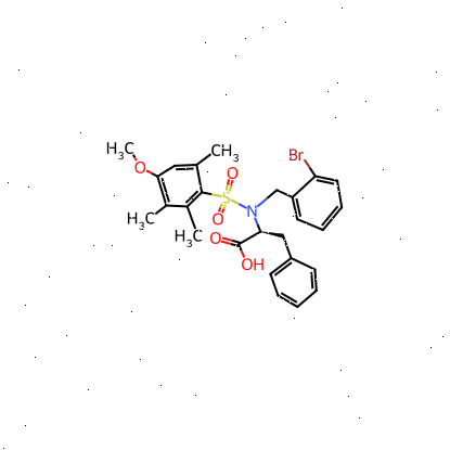 COc1cc(C)c(S(=O)(=O)N(Cc2ccccc2Br)[C@@H](Cc2ccccc2)C(=O)O)c(C)c1C